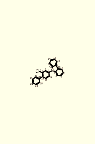 Clc1cc(-n2c3ccccc3c3ccccc32)ccc1-c1ccccc1